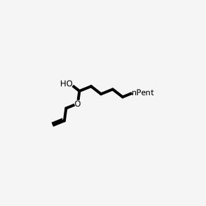 C=CCOC(O)CCCCCCCCC